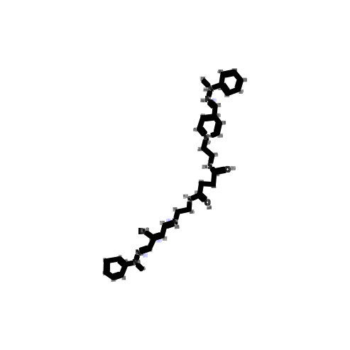 CCC(/C=N/N(C)c1ccccc1)=C\C=N\CCSC(=O)CCC(=O)SCC[n+]1ccc(/C=N/N(C)c2ccccc2)cc1